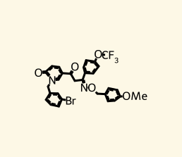 COc1ccc(CO/N=C(/CC(=O)c2ccc(=O)n(Cc3cccc(Br)c3)c2)c2ccc(OC(F)(F)F)cc2)cc1